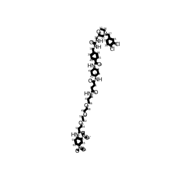 O=C(CCC(=O)N[C@H]1CC[C@H](NC(=O)c2ccc(CNC(=O)NC[C@H]3CN(Cc4ccc(Cl)c(Cl)c4)CCO3)cc2)CC1)NCCCOCCOCCOCCCNc1ccc([N+](=O)[O-])cc1[N+](=O)[O-]